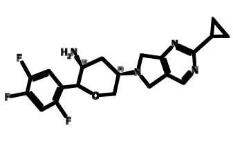 N[C@H]1C[C@@H](N2Cc3cnc(C4CC4)nc3C2)COC1c1cc(F)c(F)cc1F